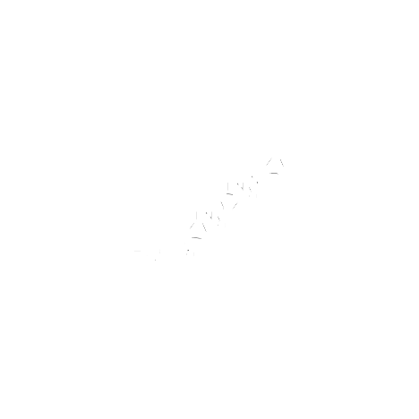 O=C(O)CC[S+]([O-])c1ccc(NC(=O)c2ccc(NC(=O)NCc3ccccc3)cc2)cc1